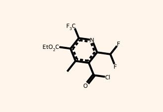 CCOC(=O)c1c(C(F)(F)F)nc(C(F)F)c(C(=O)Cl)c1C